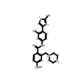 COc1ccc(C(=O)Nc2ccc(-c3csc(C(C)C)n3)c(Cl)c2)c(CN2CCOCC2)c1